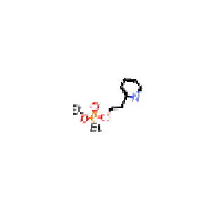 CCOP(=O)(CC)OCCc1ccccn1